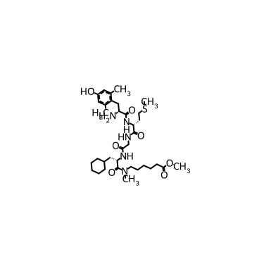 COC(=O)CCCCCN(C)C(=O)[C@H](CC1CCCCC1)NC(=O)CNC(=O)[C@@H](CCSC)NC(=O)[C@@H](N)Cc1c(C)cc(O)cc1C